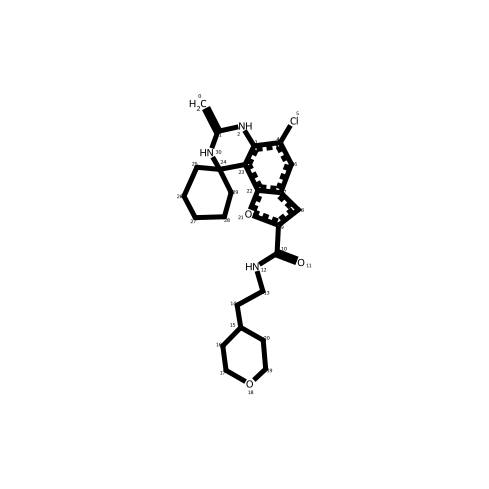 C=C1Nc2c(Cl)cc3cc(C(=O)NCCC4CCOCC4)oc3c2C2(CCCCC2)N1